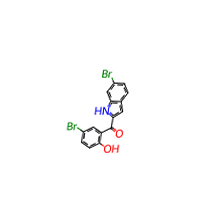 O=C(c1cc2ccc(Br)cc2[nH]1)c1cc(Br)ccc1O